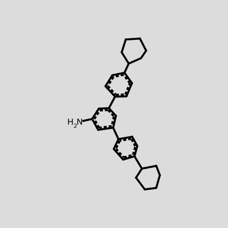 Nc1cc(-c2ccc(C3CCCCC3)cc2)cc(-c2ccc(C3CCCCC3)cc2)c1